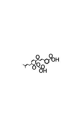 CC(C)=CCC1C=CC(C(=O)C=Cc2cccc(C(=O)O)c2)=C(OCC(=O)O)C1=O